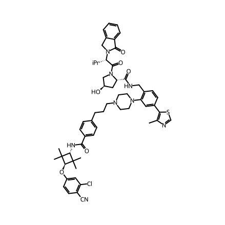 Cc1ncsc1-c1ccc(CNC(=O)[C@@H]2C[C@@H](O)CN2C(=O)[C@H](C(C)C)N2Cc3ccccc3C2=O)c(N2CCN(CCCc3ccc(C(=O)N[C@H]4C(C)(C)[C@H](Oc5ccc(C#N)c(Cl)c5)C4(C)C)cc3)CC2)c1